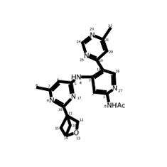 CC(=O)Nc1cc(Nc2cc(C)nc(C34COC(C3)C4)n2)c(-c2cc(C)ncn2)cn1